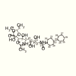 C=CCOC(O)(CC(O)C(C[C@H](O)[C@H](O)CNC(=O)c1ccc(-c2ccccc2)cc1)NC(C)=O)C(=O)OC